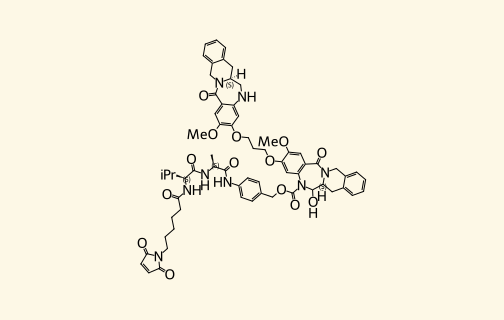 COc1cc2c(cc1OCCCOc1cc3c(cc1OC)C(=O)N1Cc4ccccc4C[C@H]1C(O)N3C(=O)OCc1ccc(NC(=O)[C@H](C)NC(=O)[C@@H](NC(=O)CCCCCN3C(=O)C=CC3=O)C(C)C)cc1)NC[C@@H]1Cc3ccccc3CN1C2=O